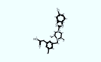 Cc1cc(CC(=O)O)cc(CN2[C@H](C)CN(c3nc4ccc(Cl)cc4o3)C[C@@H]2C)c1